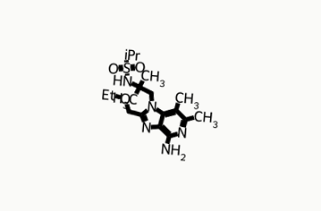 CCOCc1nc2c(N)nc(C)c(C)c2n1CC(C)(C)NS(=O)(=O)C(C)C